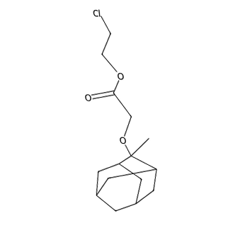 CC1(OCC(=O)OCCCl)C2CC3CC(C2)CC1C3